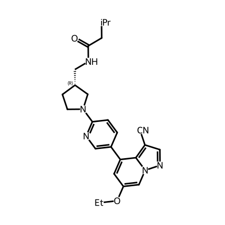 CCOc1cc(-c2ccc(N3CC[C@H](CNC(=O)CC(C)C)C3)nc2)c2c(C#N)cnn2c1